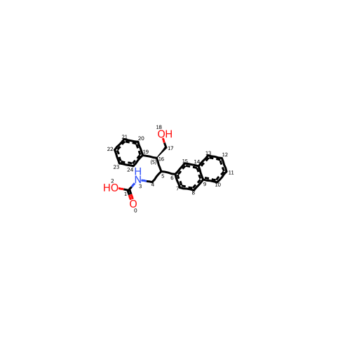 O=C(O)NCC(c1ccc2ccccc2c1)[C@H](CO)c1ccccc1